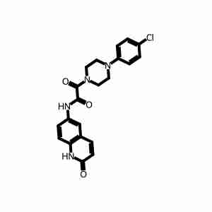 O=C(Nc1ccc2[nH]c(=O)ccc2c1)C(=O)N1CCN(c2ccc(Cl)cc2)CC1